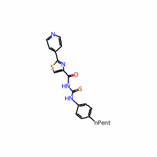 CCCCCc1ccc(NC(=S)NC(=O)c2csc(-c3ccncc3)n2)cc1